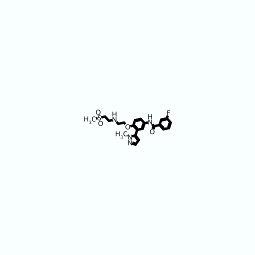 Cn1nccc1-c1cc(NC(=O)c2cccc(F)c2)ccc1OCCNCCS(C)(=O)=O